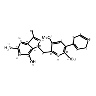 COc1cc(C2=CCN=CC2)c(C(C)(C)C)nc1Cn1nc(C)c2nc(N)nc(O)c21